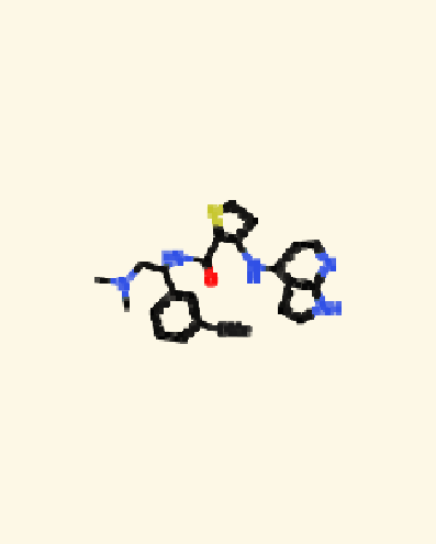 COc1cccc(C(CN(C)C)NC(=O)c2sccc2Nc2ccnc3[nH]ccc23)c1